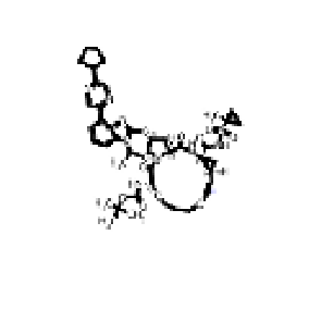 CC(C)n1c(O[C@@H]2C[C@H]3C(=O)N[C@]4(C(=O)NS(=O)(=O)C5(C)CC5)C[C@H]4/C=C\CCCCC[C@H](NC(=O)OC(C)(C)C)C(=O)N3C2)nc2c(-c3cnc(C4CCCC4)cn3)cccc21